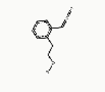 CCOCCc1ccccc1C=C=O